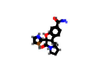 CC1c2ccc(C(N)=O)cc2OC1(C(=O)N1CCCC1)c1nccs1